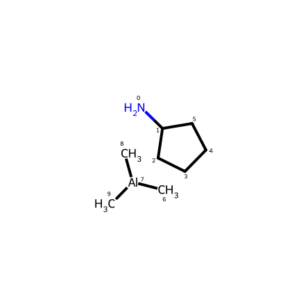 NC1CCCC1.[CH3][Al]([CH3])[CH3]